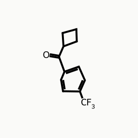 O=C(c1ccc(C(F)(F)F)cc1)C1CCC1